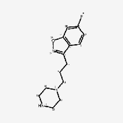 Fc1ccc2c(CCCN3CCNCC3)noc2c1